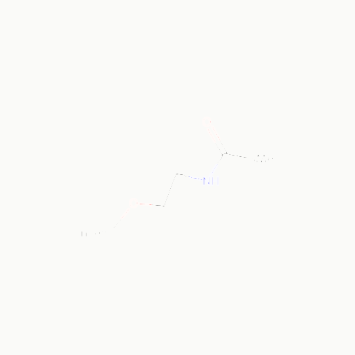 CCCCCOCCNC(=O)SC